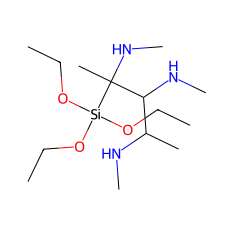 CCO[Si](OCC)(OCC)C(C)(NC)C(NC)C(C)NC